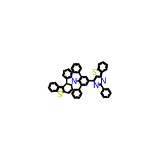 C1=CC2C(c3ccccc3N2c2c(-c3ccccc3)cc(-c3nc(-c4ccccc4)nc4c3sc3ccccc34)cc2-c2ccccc2)c2c1sc1ccccc21